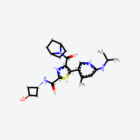 Cc1cc(NC(C)C)ncc1-c1sc(C(=O)N[C@H]2C[C@H](O)C2)nc1C(=O)N1C2CCC1CC2